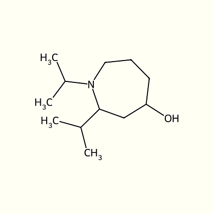 CC(C)C1CC(O)CCCN1C(C)C